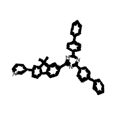 CC1(C)c2cc(-c3cccnc3)ccc2-c2ccc(-c3nc(-c4ccc(-c5ccccc5)cc4)nc(-c4ccc(-c5ccccc5)cc4)n3)cc21